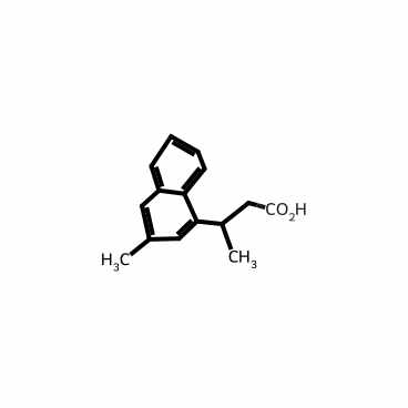 Cc1cc(C(C)CC(=O)O)c2ccccc2c1